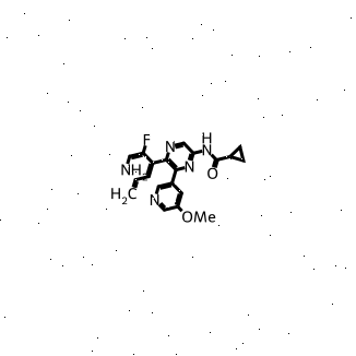 C=C/C=C(\C(F)=C/N)c1ncc(NC(=O)C2CC2)nc1-c1cncc(OC)c1